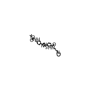 CC(C)(C)OC(=O)NCc1ccc(-c2cn3c(n2)sc2cc(C(=O)NCCCN4CCCCC4)ccc23)cc1